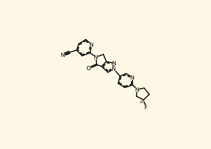 N#Cc1ccnc(N2Cc3nn(-c4ccc(N5CC[C@@H](F)C5)nc4)cc3C2=O)c1